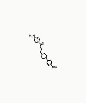 CC(C)(C)c1ccc(N2CCN(CCCC(=S)N3CCC(N)CC3)CC2)cc1